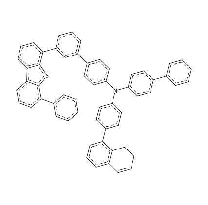 C1=Cc2cccc(-c3ccc(N(c4ccc(-c5ccccc5)cc4)c4ccc(-c5cccc(-c6cccc7c6sc6c(-c8ccccc8)cccc67)c5)cc4)cc3)c2CC1